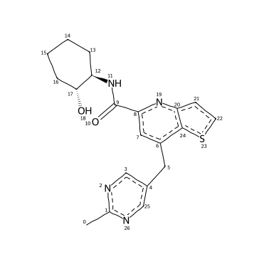 Cc1ncc(Cc2cc(C(=O)N[C@@H]3CCCC[C@H]3O)nc3ccsc23)cn1